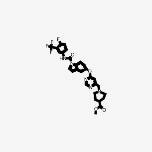 COC(=O)C1CCN(Cc2cc(Oc3ccc4c(ccn4C(=O)Nc4ccc(F)c(C(F)(F)F)c4)c3)ncn2)CC1